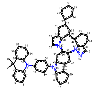 CC1(C)c2ccccc2N(c2ccc(-n3c4ccccc4c4cc5c(cc43)n3ccc4cc(-c6ccccc6)cc(c6cccc7cnn5c76)c43)cc2)c2ccccc21